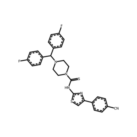 N#Cc1ccc(-c2csc(NC(=S)N3CCN(C(c4ccc(F)cc4)c4ccc(F)cc4)CC3)n2)cc1